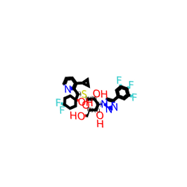 OC[C@H]1O[C@@H](S[C@@H](c2ncccc2C2CC2)C2(O)CCC(F)(F)CC2)[C@H](O)[C@@H](n2cc(-c3cc(F)c(F)c(F)c3)nn2)[C@H]1O